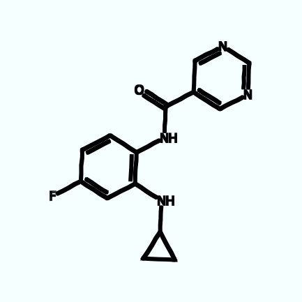 O=C(Nc1ccc(F)cc1NC1CC1)c1cncnc1